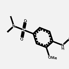 COc1cc(S(=O)(=O)N(C)C)ccc1NI